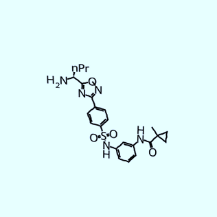 CCC[C@H](N)c1nc(-c2ccc(S(=O)(=O)Nc3cccc(NC(=O)C4(C)CC4)c3)cc2)no1